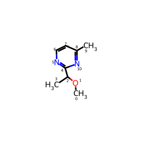 COC(C)c1nc[c]c(C)n1